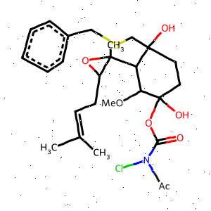 COC1C(C2(C)OC2CC=C(C)C)C(O)(CSCc2ccccc2)CCC1(O)OC(=O)N(Cl)C(C)=O